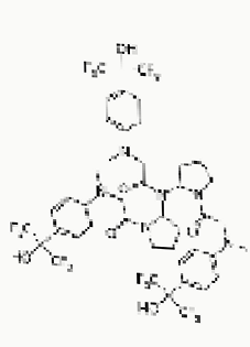 CN(CC(=O)N1CCCC1N(C(=O)CN(C)c1ccc(C(O)(C(F)(F)F)C(F)(F)F)cc1)C1CCCN1C(=O)CN(C)c1ccc(C(O)(C(F)(F)F)C(F)(F)F)cc1)c1ccc(C(O)(C(F)(F)F)C(F)(F)F)cc1